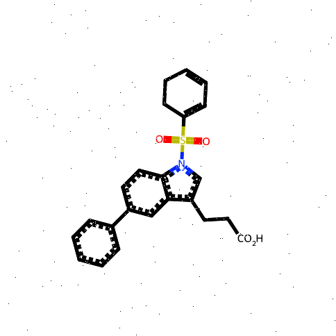 O=C(O)CCc1cn(S(=O)(=O)C2=CC=CCC2)c2ccc(-c3ccccc3)cc12